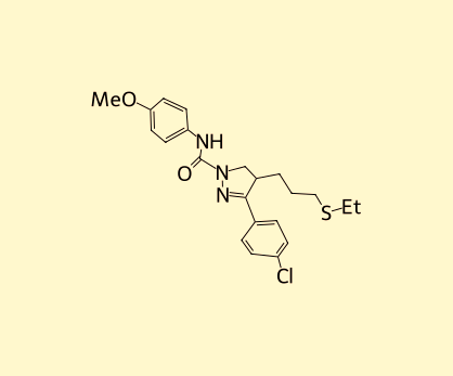 CCSCCCC1CN(C(=O)Nc2ccc(OC)cc2)N=C1c1ccc(Cl)cc1